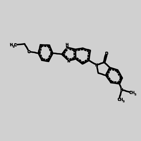 CCOc1ccc(-c2nc3cc(N4Cc5cc(N(C)C)ccc5C4=O)ccc3[nH]2)cc1